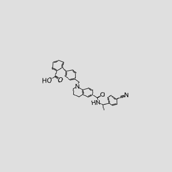 CC(NC(=O)c1ccc2c(c1)CCCN2Cc1ccc(-c2ccccc2C(=O)O)cc1)c1ccc(C#N)cc1